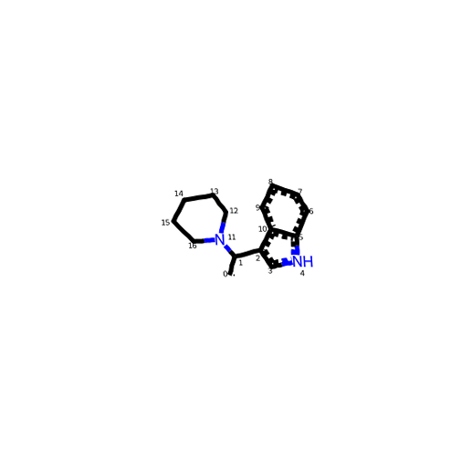 [CH2]C(c1c[nH]c2ccccc12)N1CCCCC1